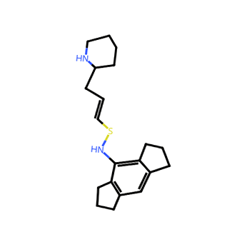 C(=C\SNc1c2c(cc3c1CCC3)CCC2)/CC1CCCCN1